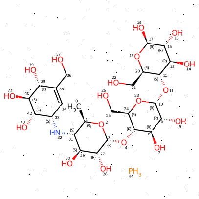 C[C@H]1O[C@H](O[C@H]2[C@H](O)[C@@H](O)[C@@H](O[C@H]3[C@H](O)[C@@H](O)[C@H](O)O[C@@H]3CO)O[C@@H]2CO)[C@H](O)[C@@H](O)[C@@H]1N[C@H]1C=C(CO)[C@@H](O)[C@H](O)[C@H]1O.P